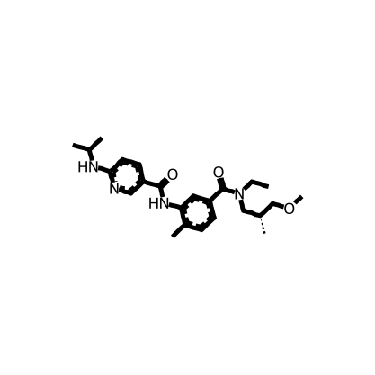 CCN(C[C@@H](C)COC)C(=O)c1ccc(C)c(NC(=O)c2ccc(NC(C)C)nc2)c1